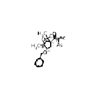 CC(=O)N(C(C)=O)C(=O)[C@@]12C[C@H](OCc3ccccc3)[C@@](C)(C1)OC2(C)C